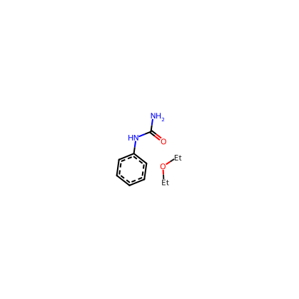 CCOCC.NC(=O)Nc1ccccc1